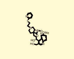 COc1ccc2ncc(CO)c([C@H](O)CCC3(C(=O)NO)CCN(CCSc4ccccn4)CC3)c2c1